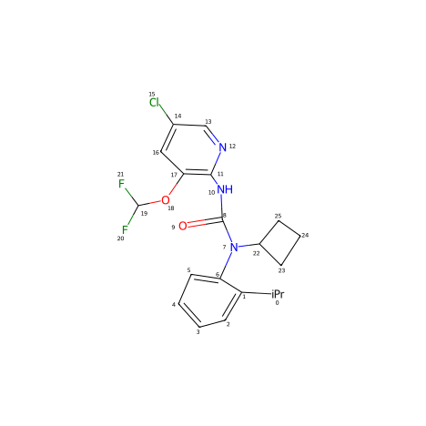 CC(C)c1ccccc1N(C(=O)Nc1ncc(Cl)cc1OC(F)F)C1CCC1